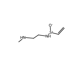 C=C[S+]([O-])NCCNC